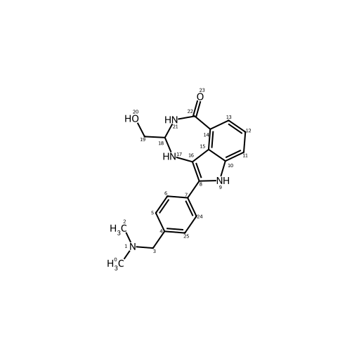 CN(C)Cc1ccc(-c2[nH]c3cccc4c3c2NC(CO)NC4=O)cc1